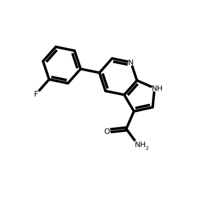 NC(=O)c1c[nH]c2ncc(-c3cccc(F)c3)cc12